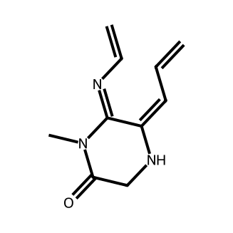 C=C/C=C1/NCC(=O)N(C)/C1=N/C=C